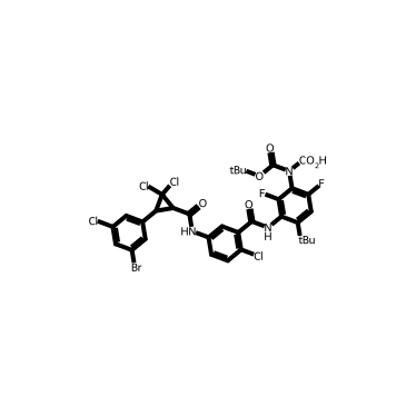 CC(C)(C)OC(=O)N(C(=O)O)c1c(F)cc(C(C)(C)C)c(NC(=O)c2cc(NC(=O)C3C(c4cc(Cl)cc(Br)c4)C3(Cl)Cl)ccc2Cl)c1F